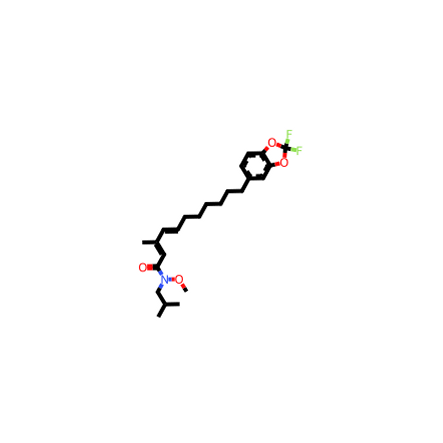 CON(CC(C)C)C(=O)C=C(C)C=CCCCCCCc1ccc2c(c1)OC(F)(F)O2